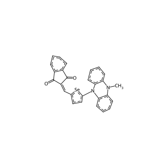 CN1c2ccccc2N(c2ccc(C=C3C(=O)c4ccccc4C3=O)[se]2)c2ccccc21